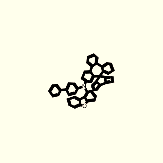 c1ccc(-c2ccc(N(c3ccc4c(c3)C3(c5ccccc5-c5ccccc5-4)c4ccccc4-c4ccccc43)c3cccc4oc5ccccc5c34)cc2)cc1